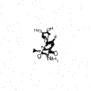 Nn1c(=O)c2cc(F)c(N3C[C@@H](O)[C@@H](O)C3)nc2n(C2CC2)c1=O